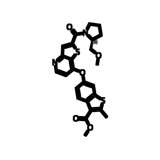 COC[C@@H]1CCCN1C(=O)c1cc2nccc(Oc3ccc4c(C(=O)OC)c(C)sc4c3)c2s1